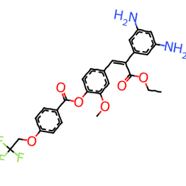 CCOC(=O)C(=Cc1ccc(OC(=O)c2ccc(OCC(F)(F)F)cc2)c(OC)c1)c1cc(N)cc(N)c1